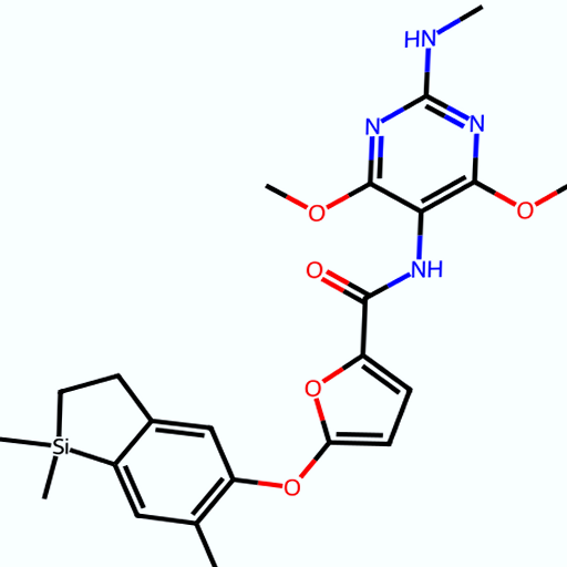 CNc1nc(OC)c(NC(=O)c2ccc(Oc3cc4c(cc3C)[Si](C)(C)CC4)o2)c(OC)n1